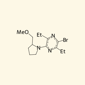 CCc1nc(N2CCCC2COC)c(CC)nc1Br